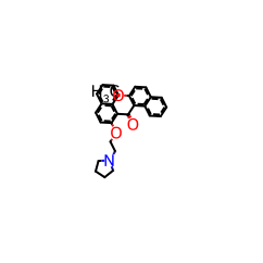 COc1ccc2ccccc2c1C(=O)c1c(OCCN2CCCC2)ccc2ccccc12